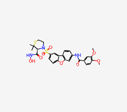 COc1ccc(C(=O)Nc2ccc3c(c2)oc2ccc(S(=O)(=O)N4CCSC(C)(C)[C@@H]4C(=O)NO)cc23)cc1OC